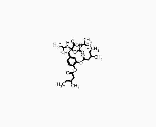 CCC(C)CC(=O)Oc1ccc(C[C@](NC(C)C)(OC(=O)OC(C)C)C(=O)O)cc1OC(=O)CC(C)CC